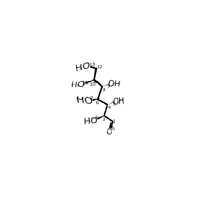 O=C[C@@H](O)[C@@H](O)[C@@H](O)[C@@H](O)[C@@H](O)CO